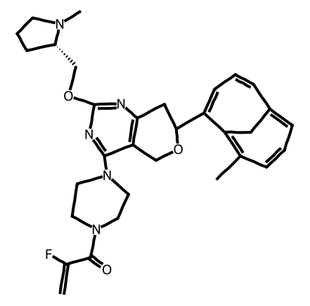 C=C(F)C(=O)N1CCN(c2nc(OC[C@@H]3CCCN3C)nc3c2COC(C2=CC=CC4=CC=CC(C)=C2C4)C3)CC1